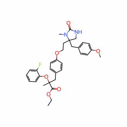 CCOC(=O)C(C)(Cc1ccc(OCCC2(Cc3ccc(OC)cc3)CNC(=O)N2C)cc1)Oc1ccccc1F